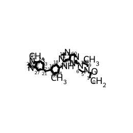 C=CC(=O)N1CCN(c2ncc3ncnc(Nc4ccc(Cc5ccc6c(c5)ncn6C)c(C)c4)c3n2)[C@@H](C)C1